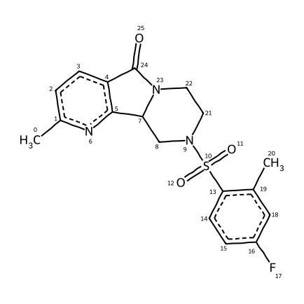 Cc1ccc2c(n1)C1CN(S(=O)(=O)c3ccc(F)cc3C)CCN1C2=O